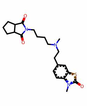 CN(CCCCN1C(=O)C2CCCC2C1=O)CCc1ccc2c(c1)sc(=O)n2C